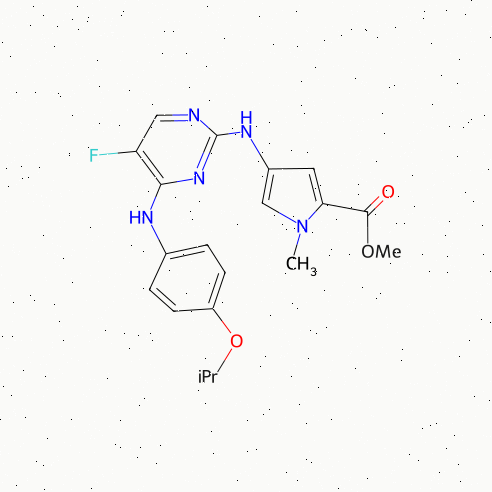 COC(=O)c1cc(Nc2ncc(F)c(Nc3ccc(OC(C)C)cc3)n2)cn1C